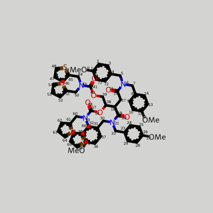 COc1ccc(CN(Cc2ccc(OC)cc2)C(=O)CC(C(=O)N(Cc2ccc(OC)cc2)Cc2ccc(OC)cc2)C(COC(=O)N(Cc2cccs2)Cc2cccs2)OC(=O)N(Cc2cccs2)Cc2cccs2)cc1